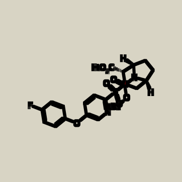 CCOC(=O)[C@@H]1[C@@H]2CC[C@H](CN1S(=O)(=O)c1ccc(Oc3ccc(F)cc3)cn1)N2C(=O)OC(C)(C)C